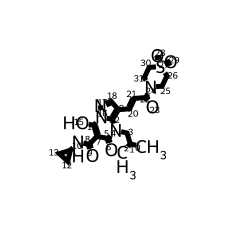 CC(C)Cn1c(=O)c(C(=O)NC2CC2)c(O)n2ncc(/C=C/C(=O)N3CCS(=O)(=O)CC3)c12